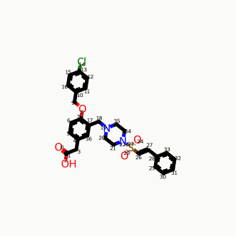 O=C(O)Cc1ccc(OCc2ccc(Cl)cc2)c(CN2CCN(S(=O)(=O)/C=C/c3ccccc3)CC2)c1